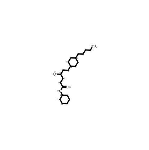 CCCCCC1CCC(CCC(C)CCC(=O)OC2CCCCC2)CC1